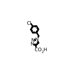 O=C(O)c1cn(Cc2ccc(Cl)cc2)nn1